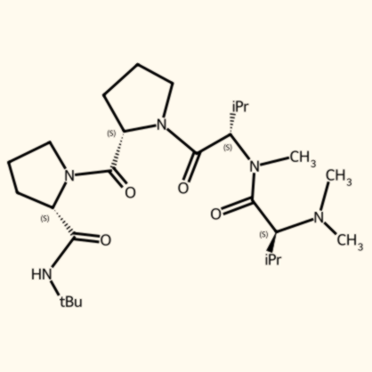 CC(C)[C@@H](C(=O)N(C)[C@H](C(=O)N1CCC[C@H]1C(=O)N1CCC[C@H]1C(=O)NC(C)(C)C)C(C)C)N(C)C